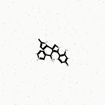 Cc1ccc(-c2csc(-c3ccc(F)cc3F)c2C(O)c2cccnc2)s1